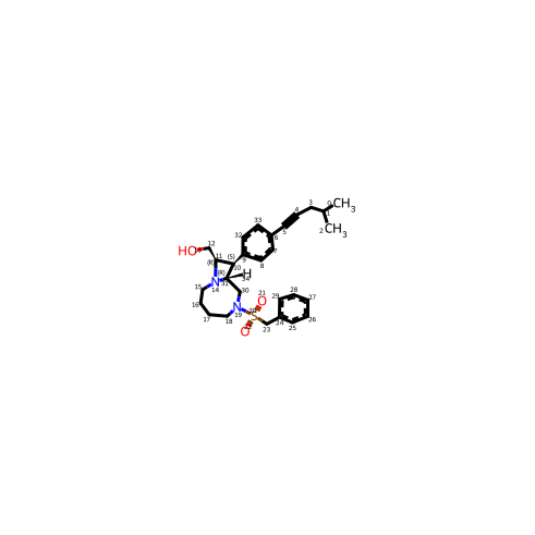 CC(C)CC#Cc1ccc([C@@H]2[C@H](CO)N3CCCCN(S(=O)(=O)Cc4ccccc4)C[C@@H]23)cc1